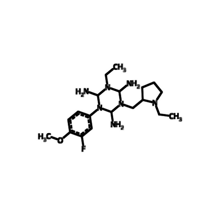 CCN1CCCC1CN1C(N)N(CC)C(N)N(c2ccc(OC)c(F)c2)C1N